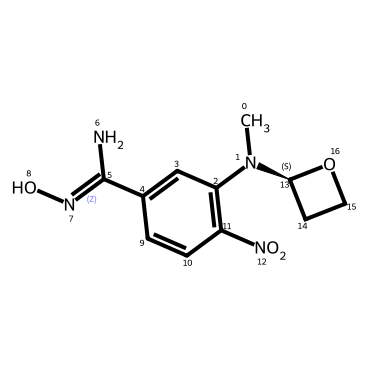 CN(c1cc(/C(N)=N/O)ccc1[N+](=O)[O-])[C@@H]1CCO1